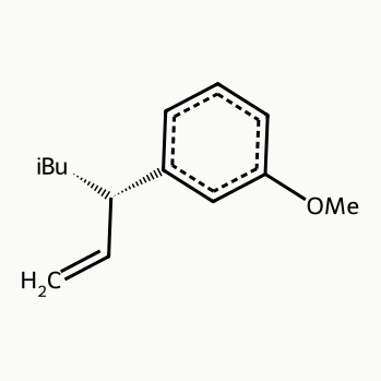 C=C[C@@H](c1cccc(OC)c1)[C@@H](C)CC